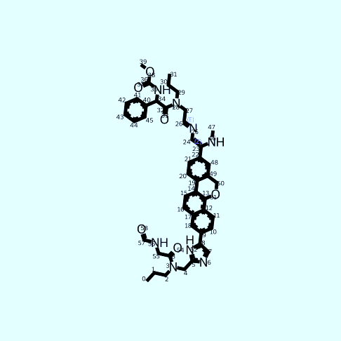 CCCN(Cc1ncc(-c2ccc3c4c(ccc3c2)-c2ccc(/C(=C/N=C/CN(CCC)C(=O)C(NC(=O)OC)c3ccccc3)NC)cc2CO4)[nH]1)C(=O)CNC=O